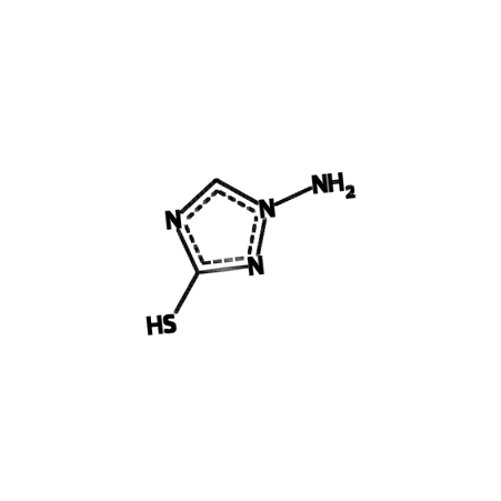 Nn1cnc(S)n1